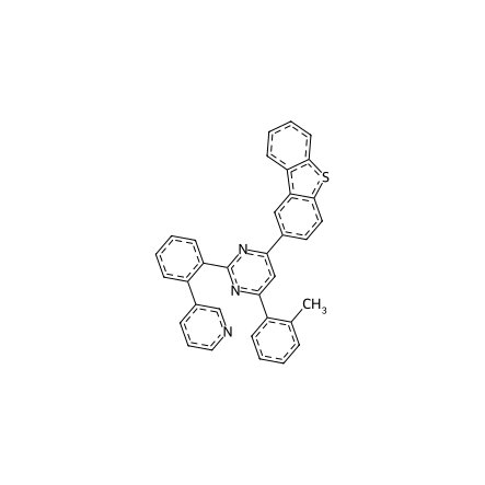 Cc1ccccc1-c1cc(-c2ccc3sc4ccccc4c3c2)nc(-c2ccccc2-c2cccnc2)n1